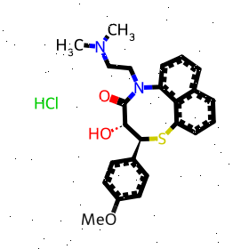 COc1ccc([C@@H]2Sc3cccc4cccc(c34)N(CCN(C)C)C(=O)[C@H]2O)cc1.Cl